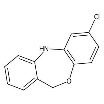 Clc1ccc2c(c1)Nc1ccccc1CO2